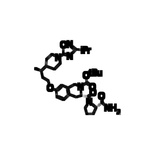 CC(C)c1noc(N2CCC([C@H](C)CCOc3ccc4c(c3)CN(C(=O)OC(C)(C)C)[C@H](C(=O)N3CCC[C@H]3C(N)=O)C4)CC2)n1